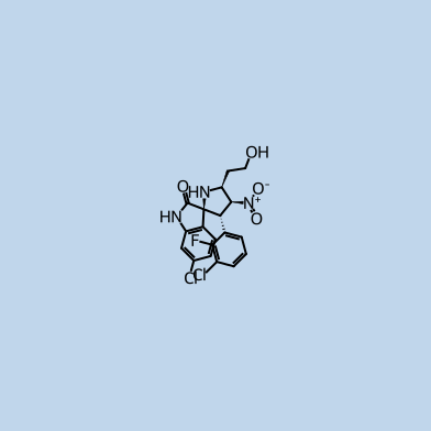 O=C1Nc2cc(Cl)ccc2[C@]12N[C@@H](CCO)[C@@H]([N+](=O)[O-])[C@@H]2c1cccc(Cl)c1F